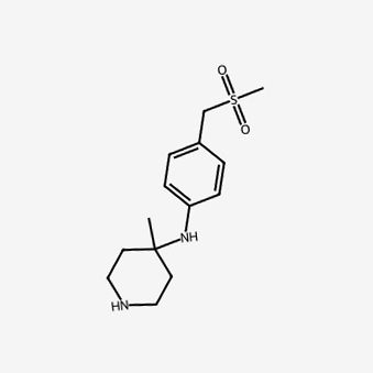 CC1(Nc2ccc(CS(C)(=O)=O)cc2)CCNCC1